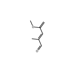 C=C(/C=C(\C)C=O)OC